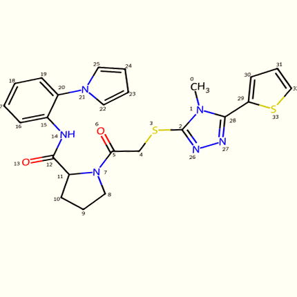 Cn1c(SCC(=O)N2CCCC2C(=O)Nc2ccccc2-n2cccc2)nnc1-c1cccs1